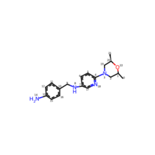 CC1CN(c2ccc(NCc3ccc(N)cc3)cn2)C[C@@H](C)O1